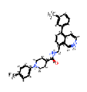 Cc1cccc(-c2ccc(CNC(=O)C3CCN(c4ccc(C(F)(F)F)cc4)CC3)c3cnccc23)c1